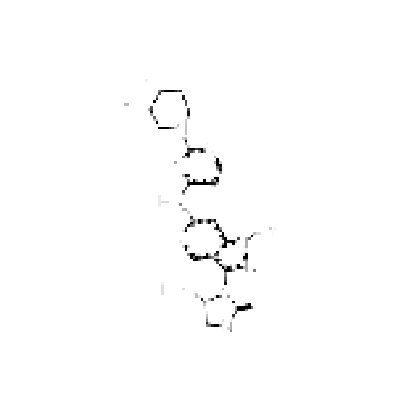 CC1CNC(=O)N1c1nn(C(C)C)c2cc(Nc3ccnc(N4CC[C@@H](O)[C@@H](F)C4)n3)ncc12